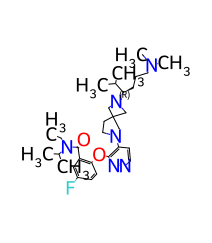 CCN(C(=O)c1cc(F)ccc1Oc1nnccc1N1CCC2(C1)CN([C@H](CCCN(C)C)C(C)C)C2)C(C)C